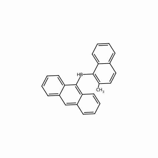 Cc1ccc2ccccc2c1Bc1c2ccccc2cc2ccccc12